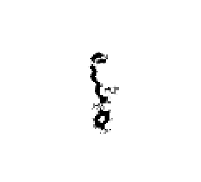 Cl.O=C(CCCCCn1ccnc1)Nc1ccc(O)cc1